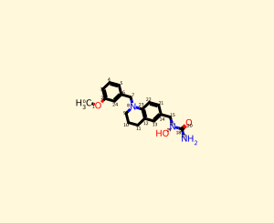 COc1cccc(CN2CCCc3cc(CN(O)C(N)=O)ccc32)c1